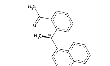 C[C@@H](c1ccccc1C(N)=O)c1cccc2ccccc12